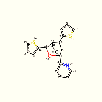 c1ccc(C23CC(c4cccs4)C(CO2)C(c2cccs2)C3)nc1